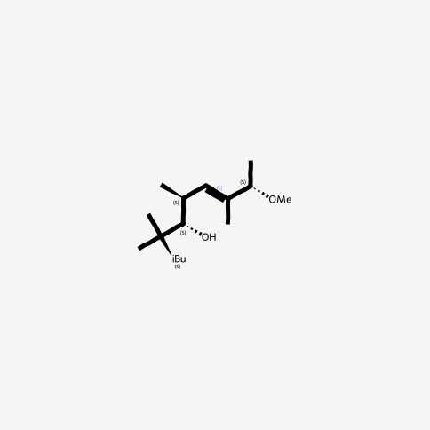 CC[C@H](C)C(C)(C)[C@@H](O)[C@@H](C)/C=C(\C)[C@H](C)OC